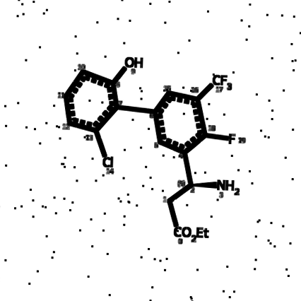 CCOC(=O)C[C@H](N)c1cc(-c2c(O)cccc2Cl)cc(C(F)(F)F)c1F